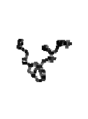 O=C(CS(=O)(=O)O)NCC12CC3CC(C1)CC(OCC1CO1)(C3)C2